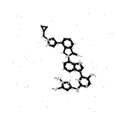 Cc1cnc(Nc2cc(C)n(C)n2)nc1-c1c[nH]c2c(N3Cc4c(cccc4-c4cnn(CC5CC5)c4)C3=O)cccc12